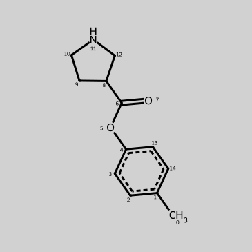 Cc1ccc(OC(=O)C2CCNC2)cc1